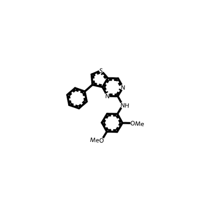 COc1ccc(Nc2ncc3scc(-c4ccccc4)c3n2)c(OC)c1